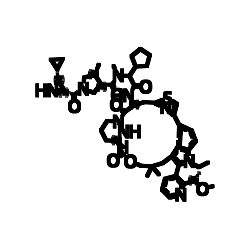 CCn1c(-c2cccnc2[C@H](C)OC)c2c3cc(ccc31)-c1csc(n1)C[C@H](NC(=O)C(C1CCCC1)N(C)C(=O)[C@H]1CN(C(=O)[C@@H]3N[C@@H]3C3CC3)C[C@H]1C)C(=O)N1CCC[C@H](N1)C(=O)OCC(C)(C)C2